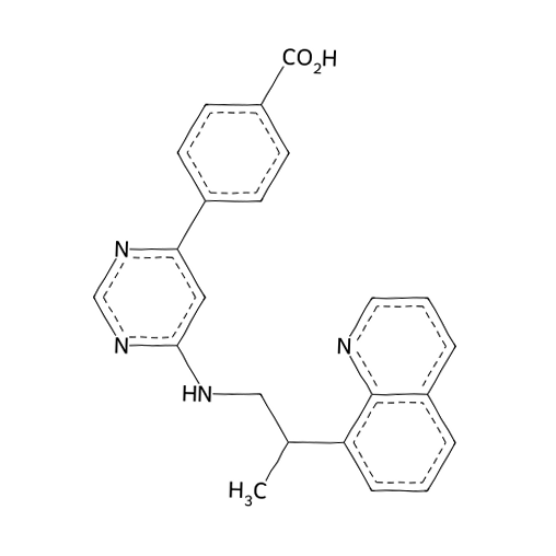 CC(CNc1cc(-c2ccc(C(=O)O)cc2)ncn1)c1cccc2cccnc12